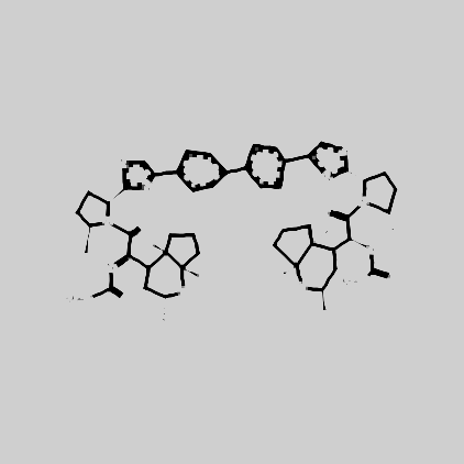 COC(=O)/N=C(/C(=O)N1[C@@H](C)CC[C@H]1c1ncc(-c2ccc(-c3ccc(-c4cnc([C@@H]5CC[C@H](C)N5C(=O)[C@@H](NC(=O)OC)C5C[C@@H](C)O[C@H]6CCC[C@@H]56)[nH]4)cc3)cc2)[nH]1)C1C[C@@H](C)O[C@H]2CCC[C@@H]12